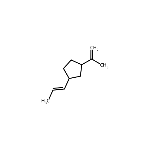 C=C(C)C1CCC(C=CC)C1